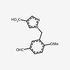 COc1ccc(C=O)cc1Cn1cc(C(=O)O)cn1